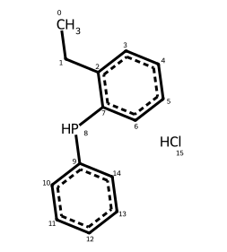 CCc1ccccc1Pc1ccccc1.Cl